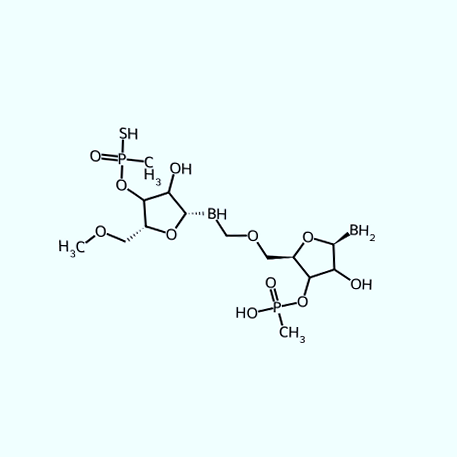 B[C@@H]1O[C@H](COCB[C@@H]2O[C@H](COC)C(OP(C)(=O)S)C2O)C(OP(C)(=O)O)C1O